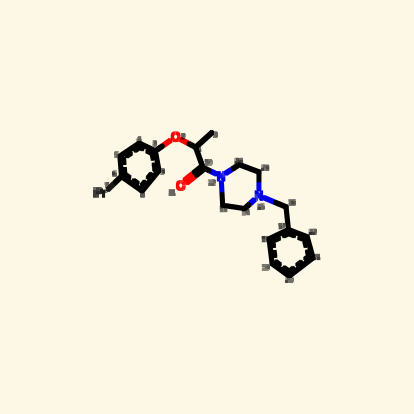 CC(Oc1ccc(C(C)C)cc1)C(=O)N1CCN(Cc2ccccc2)CC1